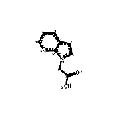 O=C(O)Cn1ccc2c[c]cnc21